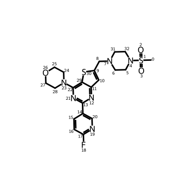 CS(=O)(=O)N1CCN(Cc2cc3nc(-c4ccc(F)nc4)nc(N4CCOCC4)c3s2)CC1